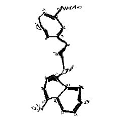 CC(=O)Nc1cc(CCOc2ccc([N+](=O)[O-])c3ccccc23)ccn1